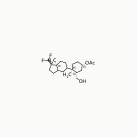 CC(=O)O[C@H]1CC[C@](C)(C2CC[C@]3(C)C(=C(F)F)CCC3C2)[C@@H](CO)C1